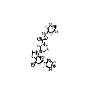 Cn1c(N[C@@H]2CCCN(C(=O)OCc3ccncc3)C2)nc(-c2ccncn2)cc1=O